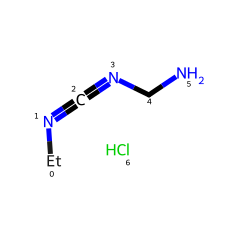 CCN=C=NCN.Cl